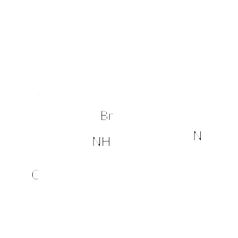 C=C=C(/C=C\C(Br)=C/C)N/C=C\C=N/C